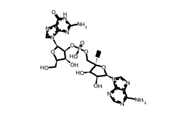 C#C[C@]1(COP(=O)(O)O[C@H]2[C@@H](O)[C@@H](CO)O[C@H]2n2cnc3c(=O)[nH]c(N)nc32)O[C@@H](n2cnc3c(N)ncnc32)[C@@H](O)[C@H]1O